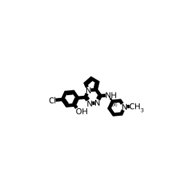 CN1CCC[C@@H](Nc2nnc(-c3ccc(Cl)cc3O)n3cccc23)C1